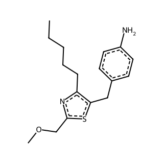 CCCCCc1nc(COC)sc1Cc1ccc(N)cc1